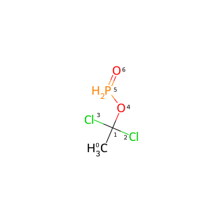 CC(Cl)(Cl)O[PH2]=O